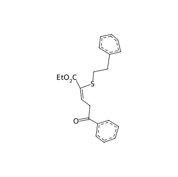 CCOC(=O)/C(=C/CC(=O)c1ccccc1)SCCc1ccccc1